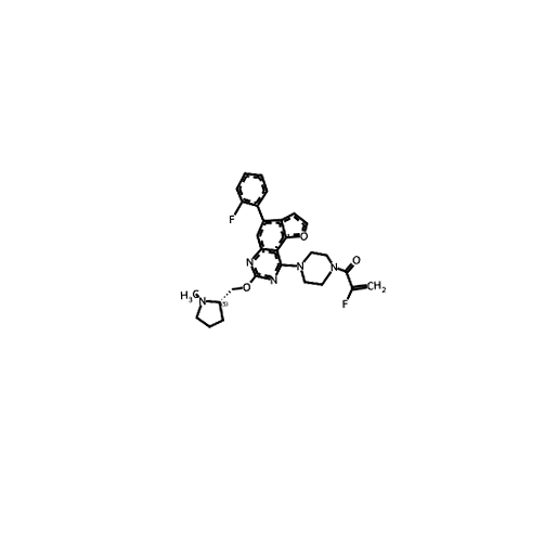 C=C(F)C(=O)N1CCN(c2nc(OC[C@@H]3CCCN3C)nc3cc(-c4ccccc4F)c4ccoc4c23)CC1